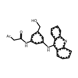 CC(=O)CC(=O)Nc1cc(CO)cc(Nc2c3ccccc3nc3ccccc23)c1